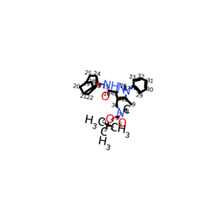 CC(C)(C)OC(=O)N1CCc2c(c(C(=O)NC3C4CC5CC(C4)CC3C5)nn2-c2ccccc2)C1